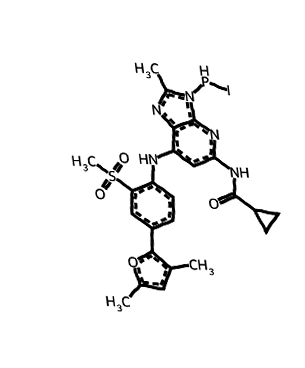 Cc1cc(C)c(-c2ccc(Nc3cc(NC(=O)C4CC4)nc4c3nc(C)n4PI)c(S(C)(=O)=O)c2)o1